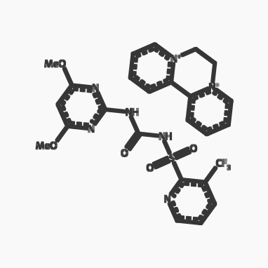 COc1cc(OC)nc(NC(=O)NS(=O)(=O)c2ncccc2C(F)(F)F)n1.c1cc[n+]2c(c1)-c1cccc[n+]1CC2